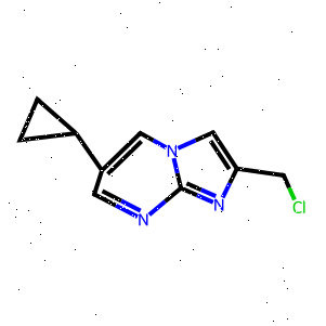 ClCc1cn2cc(C3CC3)cnc2n1